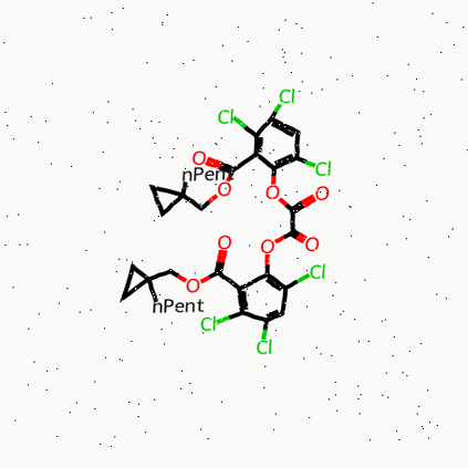 CCCCCC1(COC(=O)c2c(Cl)c(Cl)cc(Cl)c2OC(=O)C(=O)Oc2c(Cl)cc(Cl)c(Cl)c2C(=O)OCC2(CCCCC)CC2)CC1